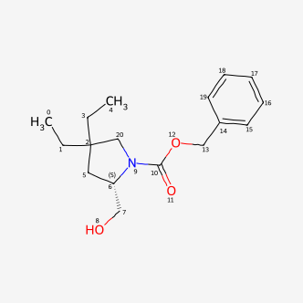 CCC1(CC)C[C@@H](CO)N(C(=O)OCc2ccccc2)C1